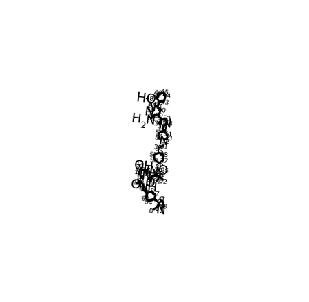 Cc1ncsc1-c1ccc(CNC(=O)[C@@H]2C[C@@H](O)CN2C(=O)[C@@H](NC(=O)[C@H]2CC[C@H](CCN3CCC(n4cc(-c5cc(-c6ccccc6O)nnc5N)cn4)CC3)CC2)C(C)(C)C)cc1